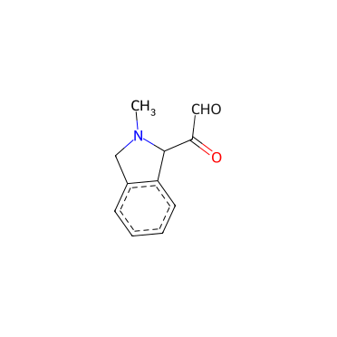 CN1Cc2ccccc2C1C(=O)C=O